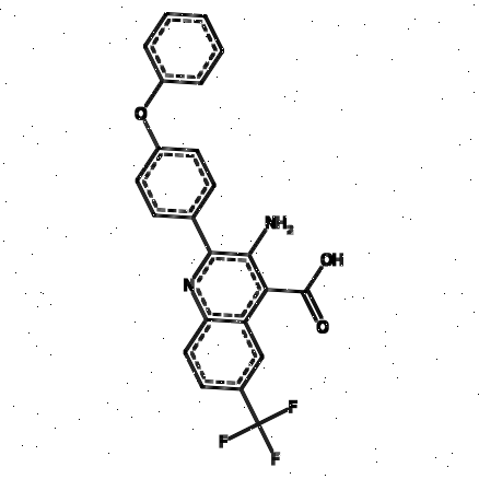 Nc1c(-c2ccc(Oc3ccccc3)cc2)nc2ccc(C(F)(F)F)cc2c1C(=O)O